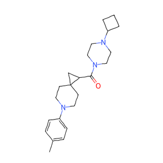 Cc1ccc(N2CCC3(CC2)CC3C(=O)N2CCN(C3CCC3)CC2)cc1